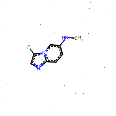 CNc1ccc2ncc(F)n2c1